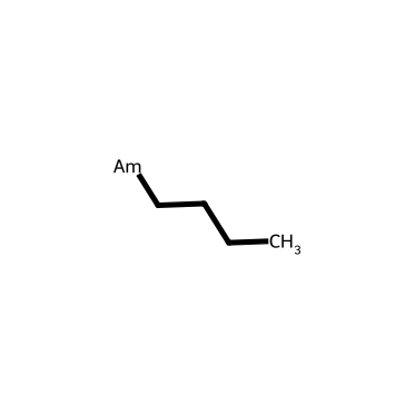 CCC[CH2][Am]